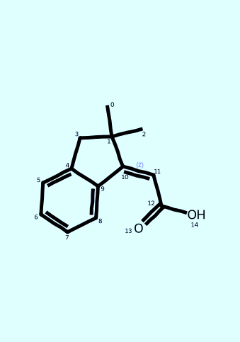 CC1(C)Cc2ccccc2/C1=C\C(=O)O